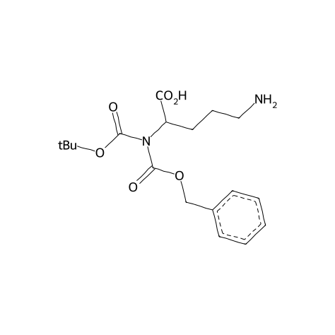 CC(C)(C)OC(=O)N(C(=O)OCc1ccccc1)C(CCCN)C(=O)O